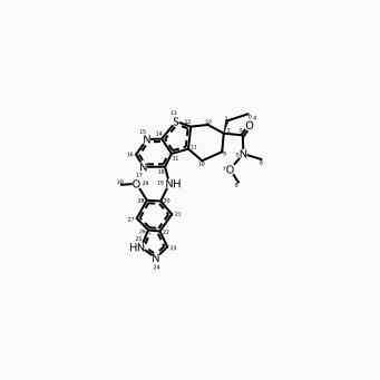 CC[C@@]1(C(=O)N(C)OC)CCc2c(sc3ncnc(Nc4cc5cn[nH]c5cc4OC)c23)C1